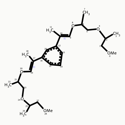 COCC(C)OCC(C)O/C=C(\C)c1cccc(/C(C)=C/OC(C)COC(C)COC)c1